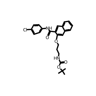 CC(C)(C)OC(=O)NCCCOc1cc2ccccc2cc1C(=O)Nc1ccc(Cl)cc1